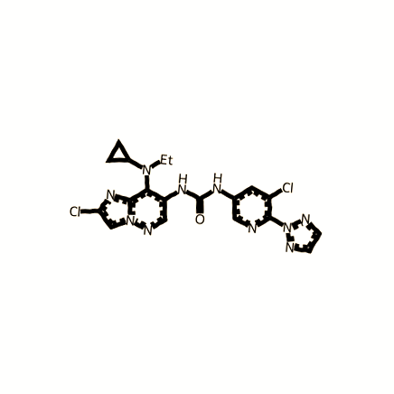 CCN(c1c(NC(=O)Nc2cnc(-n3nccn3)c(Cl)c2)cnn2cc(Cl)nc12)C1CC1